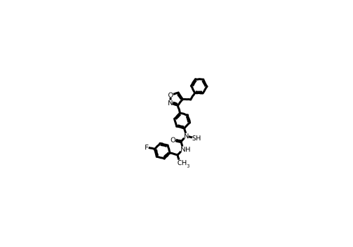 CC(NC(=O)N(S)c1ccc(-c2nocc2Cc2ccccc2)cc1)c1ccc(F)cc1